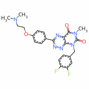 CN(C)CCOc1ccc(-c2nnc3c(n2)c(=O)n(C)c(=O)n3Cc2ccc(F)c(F)c2)cc1